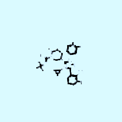 C[C@H]1C[C@H](c2ccc(F)c(F)c2)[C@@H](c2nnc(-c3cccc(Cl)c3Cl)n2C2CC2)CN1C(=O)OC(C)(C)C